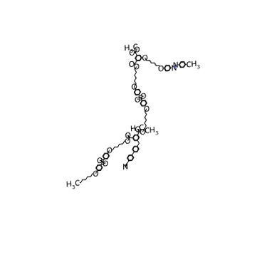 CCCCCCCOc1ccc(S(=O)(=O)c2ccc(OCCCCCCOC(=O)c3cc(Cc4ccc(-c5ccc(C#N)cc5)cc4)cc(C(=O)OC(C)(C)CCCCCCOc4ccc(S(=O)(=O)c5ccc(OCCCCCCOC(=O)c6cc(OCCCCCCOc7ccc(/N=N/c8ccc(C)cc8)cc7)cc(C(=O)OC)c6)cc5)cc4)c3)cc2)cc1